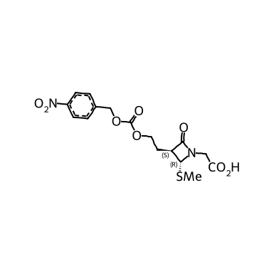 CS[C@@H]1[C@@H](CCOC(=O)OCc2ccc([N+](=O)[O-])cc2)C(=O)N1CC(=O)O